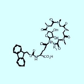 CN(CC(N)=O)C(=O)CN(C)C(=O)CN(C)C(=O)CN(C)C(=O)[C@H]1OC(NC(=O)CC[C@H](NC(=O)OCC2c3ccccc3-c3ccccc32)C(=O)O)[C@H](O)[C@@H]1O